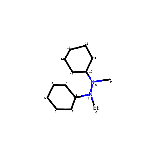 CCN(C1CCCCC1)N(C)C1CCCCC1